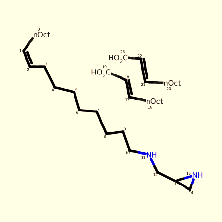 CCCCCCCC/C=C\CCCCCCCCNCC1CN1.CCCCCCCCC=CC(=O)O.CCCCCCCCC=CC(=O)O